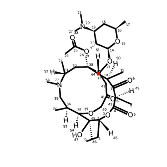 CC[C@H]1OC(=O)[C@H](C)C(=O)[C@H](C)[C@@H](O[C@@H]2O[C@H](C)C[C@H](N(C)C)[C@H]2OC(C)=O)[C@@]2(C)C[C@@H](C)N(C)C[C@H](C)[C@@H](OCC(=O)CO2)[C@]1(C)O